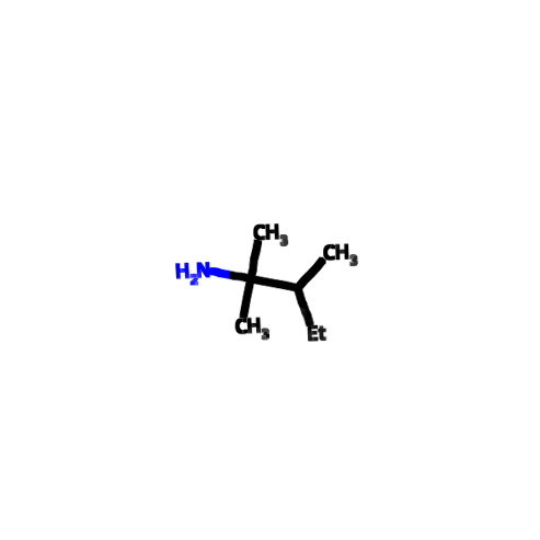 CCC(C)C(C)(C)N